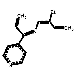 C=C/C(=C\N=C(/C=C)c1ccncc1)CC